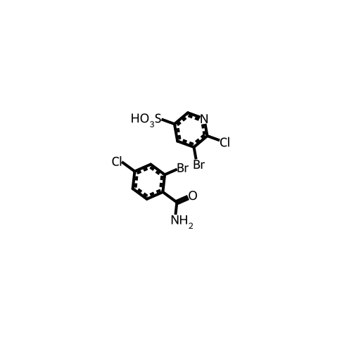 NC(=O)c1ccc(Cl)cc1Br.O=S(=O)(O)c1cnc(Cl)c(Br)c1